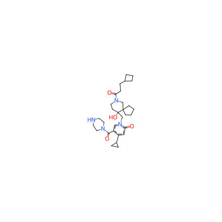 O=C(CCC1CCC1)N1CCC(O)(Cn2cc(C(=O)N3CCNCC3)c(C3CC3)cc2=O)C2(CCCC2)C1